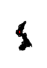 CN(C)C(C(=O)Nc1ccc2cnccc2c1)C1C=CC(COC(=O)CCC(=O)OCC(=O)[C@@]23OC(C)(C)O[C@@H]2C[C@H]2[C@@H]4CCC5=CC(=O)C=C[C@]5(C)[C@@]4(F)[C@@H](O)C[C@@]23C)=CC1